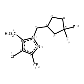 CCOC(=O)c1c(Cl)c(C(F)(F)F)nn1CC1CCC(F)(F)C1